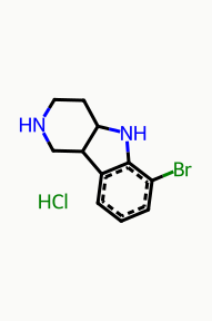 Brc1cccc2c1NC1CCNCC21.Cl